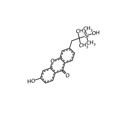 CC(C)(Cc1ccc2c(=O)c3ccc(O)cc3oc2c1)[Si](C)(C)O